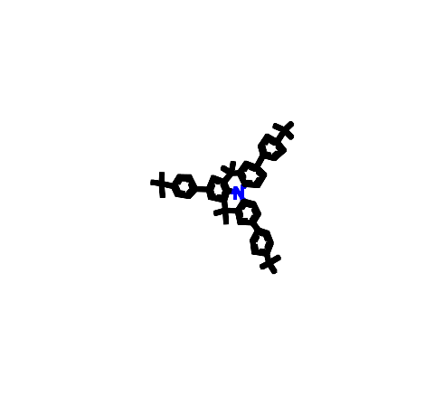 CC(C)(C)c1ccc(-c2ccc3c(c2)C(C)(C)c2cc(-c4ccc(C(C)(C)C)cc4)cc4c2N3c2ccc(-c3ccc(C(C)(C)C)cc3)cc2C4(C)C)cc1